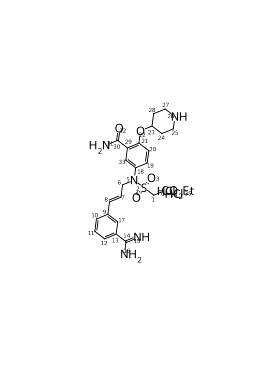 CCOC(=O)CS(=O)(=O)N(C/C=C/c1cccc(C(=N)N)c1)c1ccc(OC2CCNCC2)c(C(N)=O)c1.Cl.Cl